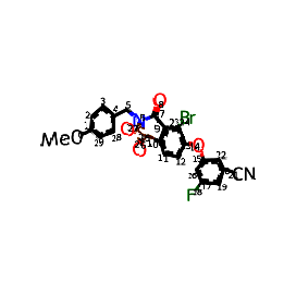 COc1ccc(CN2C(=O)c3c(ccc(Oc4cc(F)cc(C#N)c4)c3Br)S2(=O)=O)cc1